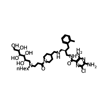 CCCCCCN(CCC(=O)N1CCC(CNC[C@H](CNC(=O)c2nc(Cl)c(N)nc2N)Cc2ccccc2C)CC1)C[C@H](O)[C@@H](O)[C@H](O)[C@H](O)CO